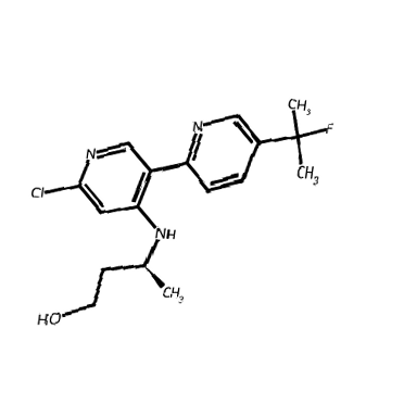 C[C@@H](CCO)Nc1cc(Cl)ncc1-c1ccc(C(C)(C)F)cn1